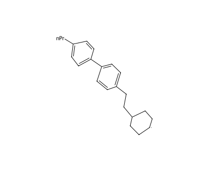 CCCc1ccc(-c2ccc(CCC3CC[CH]CC3)cc2)cc1